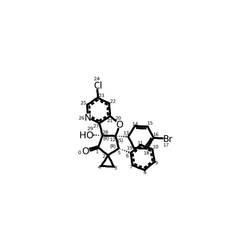 O=C1C2(CC2)[C@@H](c2ccccc2)[C@]2(C3C=CC(Br)=CC3)Oc3cc(Cl)cnc3[C@]12O